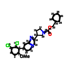 COc1ccc(Cl)c(Cl)c1-c1ccn2cc(C3CCN(C(=O)OCc4ccccc4)C3)nc2c1